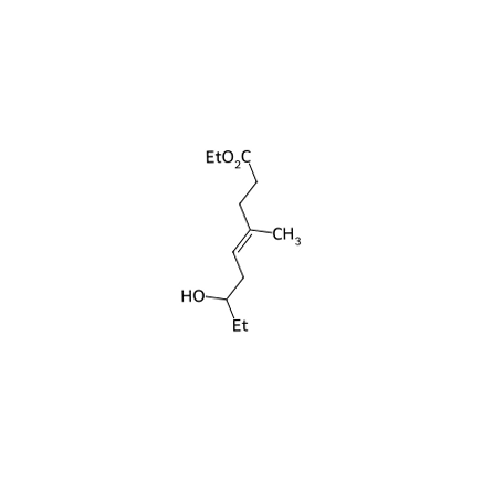 CCOC(=O)CC/C(C)=C/CC(O)CC